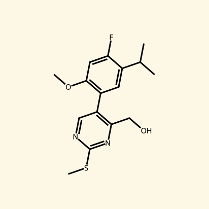 COc1cc(F)c(C(C)C)cc1-c1cnc(SC)nc1CO